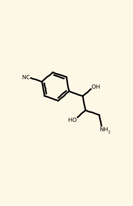 N#Cc1ccc(C(O)C(O)CN)cc1